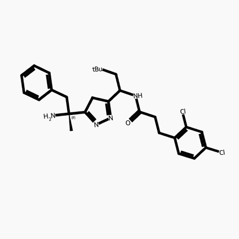 CC(C)(C)CC(NC(=O)CCc1ccc(Cl)cc1Cl)C1=NN=C([C@](C)(N)Cc2ccccc2)C1